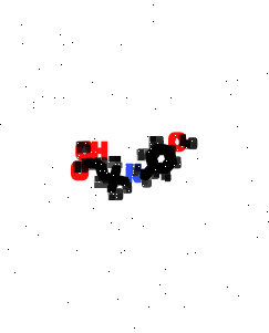 COc1ccc(C=NCC(C)(C)C=CC(=O)O)cc1